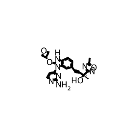 Cc1nc([C@](C)(O)C#Cc2ccc3c(c2)N(c2ccnc(N)n2)C(OC2COC2)N3)no1